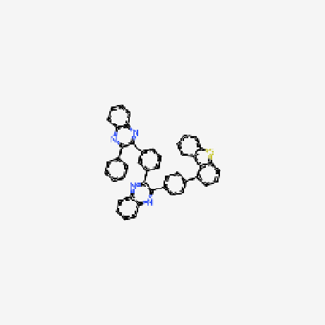 c1ccc(-c2nc3ccccc3nc2-c2cccc(-c3nc4ccccc4nc3-c3ccc(-c4cccc5sc6ccccc6c45)cc3)c2)cc1